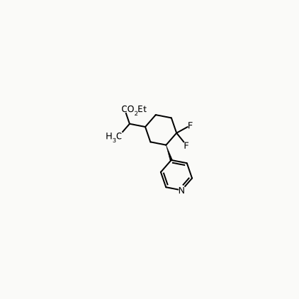 CCOC(=O)C(C)C1CCC(F)(F)[C@@H](c2ccncc2)C1